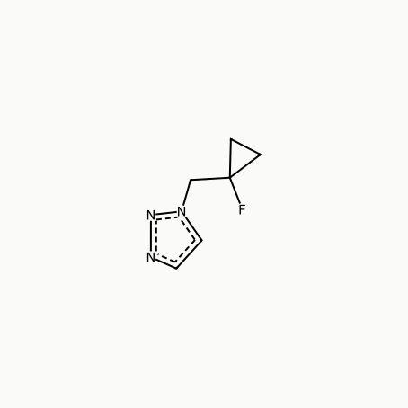 FC1(Cn2ccnn2)CC1